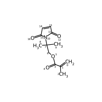 C=C(C)C(=O)OCC(C)(C)N1C(=O)C=CC1=O